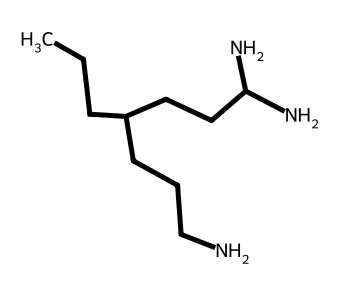 CCCC(CCCN)CCC(N)N